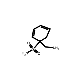 NCC1(S(N)(=O)=O)C=CC=CC1